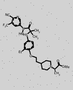 CCc1cc([SH]2NN(c3cnc(C#N)c(C(F)(F)F)c3)C(=O)C2(C)C)ccc1OCCC1CCN([C@H](C)C(=O)OC)CC1